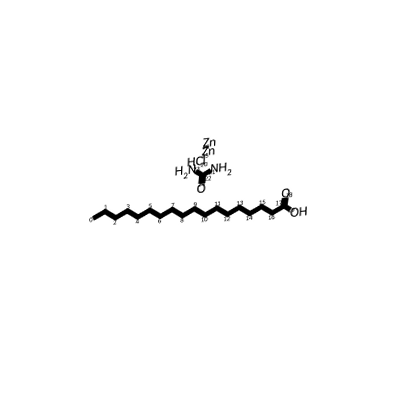 CCCCCCCCCCCCCCCCCC(=O)O.Cl.NC(N)=O.[Zn].[Zn]